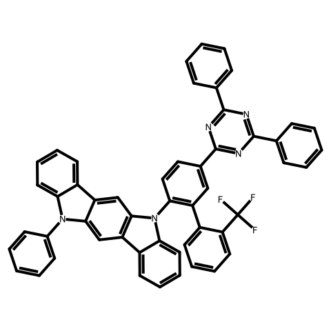 FC(F)(F)c1ccccc1-c1cc(-c2nc(-c3ccccc3)nc(-c3ccccc3)n2)ccc1-n1c2ccccc2c2cc3c(cc21)c1ccccc1n3-c1ccccc1